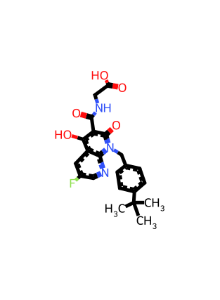 CC(C)(C)c1ccc(Cn2c(=O)c(C(=O)NCC(=O)O)c(O)c3cc(F)cnc32)cc1